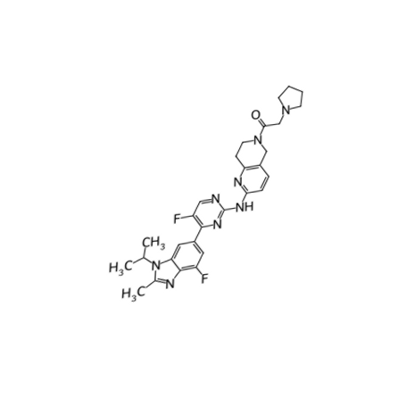 Cc1nc2c(F)cc(-c3nc(Nc4ccc5c(n4)CCN(C(=O)CN4CCCC4)C5)ncc3F)cc2n1C(C)C